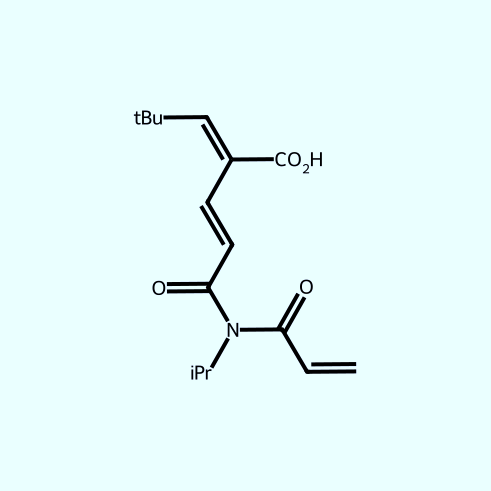 C=CC(=O)N(C(=O)C=CC(=CC(C)(C)C)C(=O)O)C(C)C